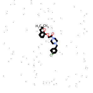 CC1(C)Cc2cccc(OCC(=O)N3CCN(Cc4ccc(Cl)cc4)CC3)c2O1